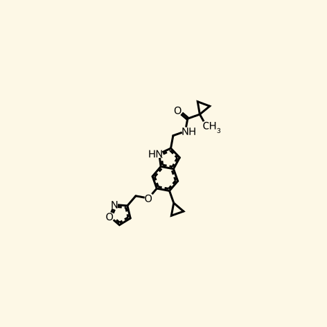 CC1(C(=O)NCc2cc3cc(C4CC4)c(OCc4ccon4)cc3[nH]2)CC1